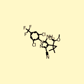 COC(=O)C1(c2c(C#N)nn(-c3c(Cl)cc(C(F)(F)F)cc3Cl)c2N)CC1(C)C